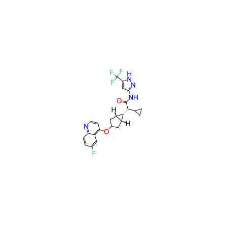 O=C(Nc1cc(C(F)(F)F)[nH]n1)C(C1CC1)[C@@H]1[C@@H]2C[C@@H](Oc3ccnc4ccc(F)cc34)C[C@@H]21